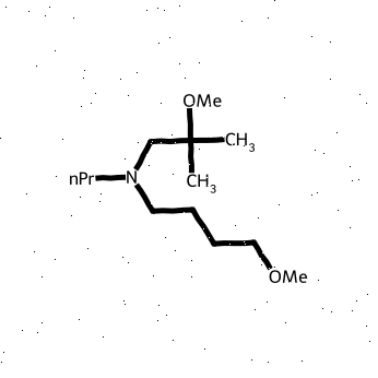 CCCN(CCCCOC)CC(C)(C)OC